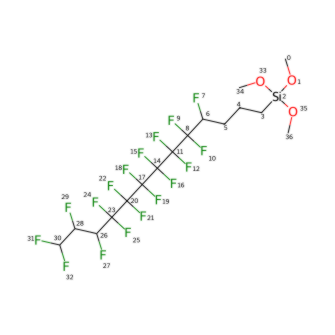 CO[Si](CCCC(F)C(F)(F)C(F)(F)C(F)(F)C(F)(F)C(F)(F)C(F)(F)C(F)C(F)C(F)F)(OC)OC